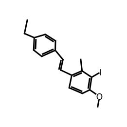 CCc1ccc(C=Cc2ccc(OC)c(I)c2C)cc1